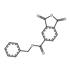 O=C(OCc1ccccc1)c1ccc2c(c1)C(=O)OC2=O